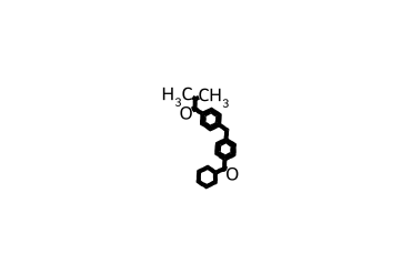 CC(C)C(=O)c1ccc(Cc2ccc(C(=O)C3CCCCC3)cc2)cc1